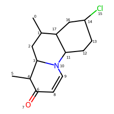 CC1CC2C(C)C(=O)C=CN2C2CCC(Cl)CC12